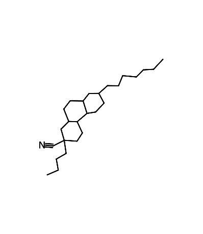 CCCCCCCC1CCC2C(CCC3CC(C#N)(CCCC)CCC32)C1